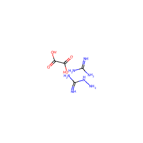 N=C(N)N.N=C(N)NN.O=C(O)C(=O)O